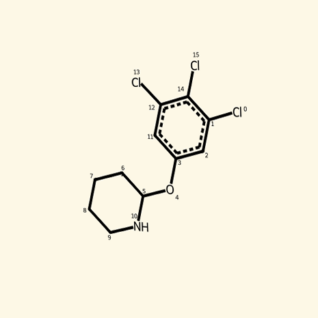 Clc1cc(OC2[CH]CCCN2)cc(Cl)c1Cl